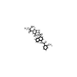 Cc1ccccc1C(=O)Nc1ccc(S(=O)(=O)N[C@H]2CCN(C(=O)[C@H](C)N)C[C@@H]2C(C)C)c2ccccc12